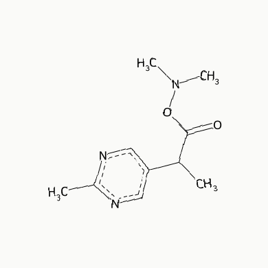 Cc1ncc(C(C)C(=O)ON(C)C)cn1